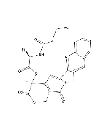 CC[C@@H](NC(=O)CCC(C)=O)C(=O)O[C@]1(I)C(=O)OCc2c1cc1n(c2=O)Cc2cc3ccccc3nc2-1